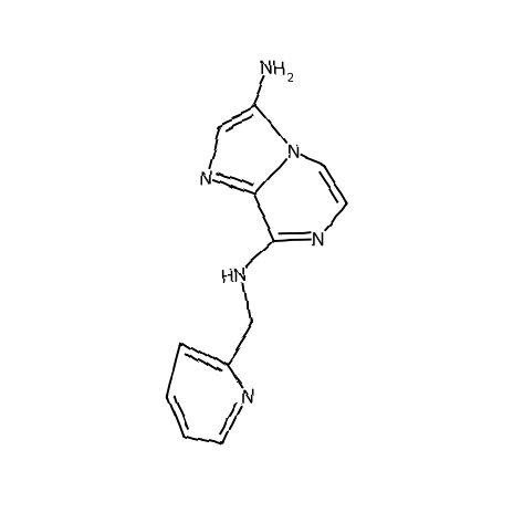 Nc1cnc2c(NCc3ccccn3)nccn12